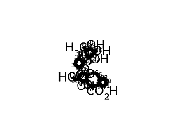 CC[C@@H]1CCC[C@@H](O[C@@H]2OC(CO)[C@H](O)C3O[C@@H](C(=O)O)Cc4ccccc4CCOC32)C1O[C@@H]1OC(C)[C@@H](O)C(O)[C@@H]1O